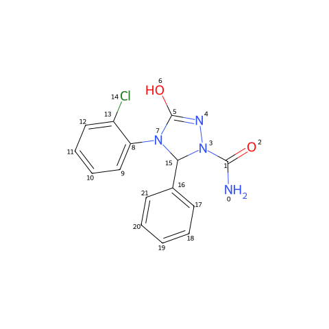 NC(=O)N1N=C(O)N(c2ccccc2Cl)C1c1ccccc1